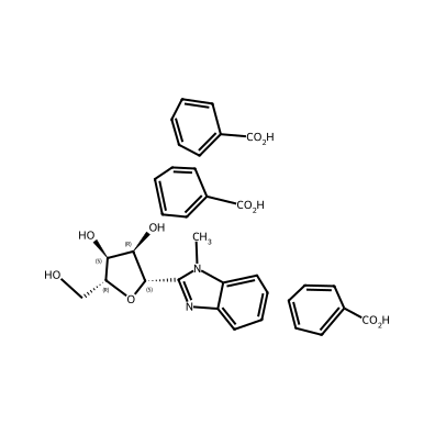 Cn1c([C@@H]2O[C@H](CO)[C@@H](O)[C@H]2O)nc2ccccc21.O=C(O)c1ccccc1.O=C(O)c1ccccc1.O=C(O)c1ccccc1